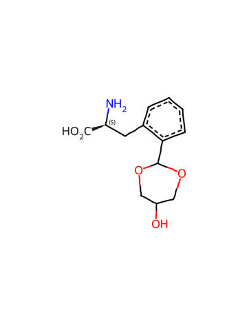 N[C@@H](Cc1ccccc1C1OCC(O)CO1)C(=O)O